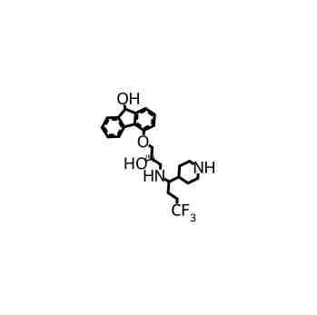 OC1c2ccccc2-c2c(OC[C@@H](O)CNC(CCC(F)(F)F)C3CCNCC3)cccc21